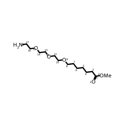 COC(=O)CCCCCCOCCOCCOCCN